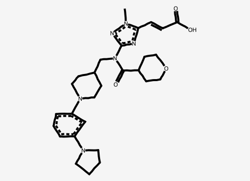 Cn1nc(N(CC2CCN(c3cccc(N4CCCC4)c3)CC2)C(=O)C2CCOCC2)nc1C=CC(=O)O